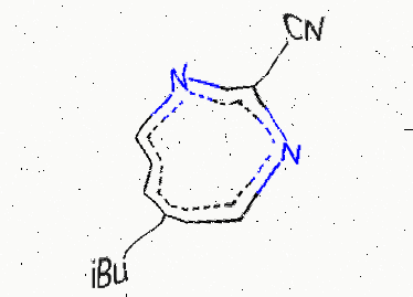 CCC(C)c1cnc(C#N)nc1